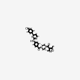 Cc1noc(C)c1C(=O)N1CCN(C(=O)c2ccc(Nc3nccc(-c4ccc(Cl)cc4)n3)cc2)CC1